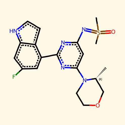 C[C@@H]1COCCN1c1cc(N=S(C)(C)=O)nc(-c2cc(F)cc3[nH]ccc23)n1